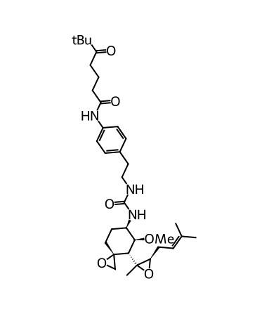 CO[C@H]1[C@H](C2(C)O[C@@H]2CC=C(C)C)[C@]2(CC[C@H]1NC(=O)NCCc1ccc(NC(=O)CCCC(=O)C(C)(C)C)cc1)CO2